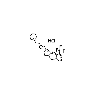 Cl.FC(F)(F)C1=CSC=C2C=CC3=CC=C(COCCN4CCCCC4)SC34CC=CC4=C21